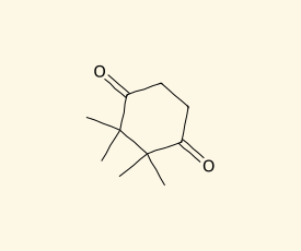 CC1(C)C(=O)CCC(=O)C1(C)C